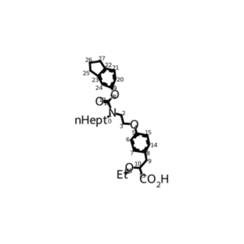 CCCCCCCN(CCOc1ccc(CC(OCC)C(=O)O)cc1)C(=O)Oc1ccc2c(c1)CCC2